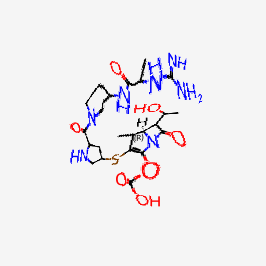 CC(NC(=N)N)C(=O)NC1CCN(C(=O)C2CC(SC3=C(OC(=O)O)N4C(=O)C(C(C)O)[C@@H]4C3C)CN2)C1